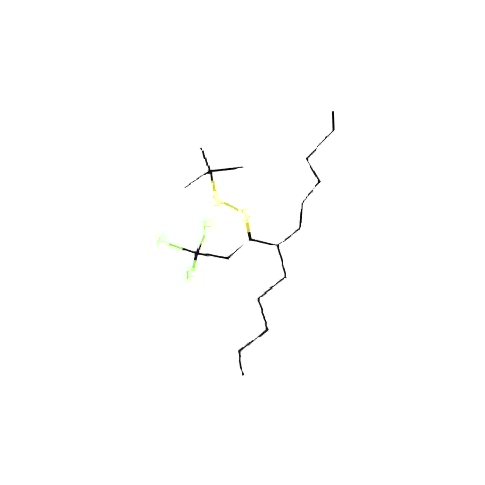 CCCCCCC(CCCCC)[C@@H](CC(F)(F)F)SSC(C)(C)C